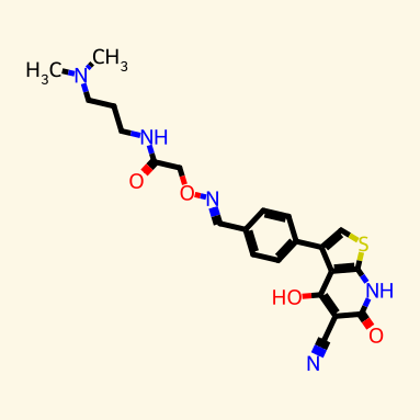 CN(C)CCCNC(=O)CON=Cc1ccc(-c2csc3[nH]c(=O)c(C#N)c(O)c23)cc1